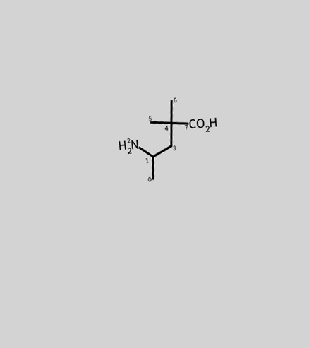 CC(N)CC(C)(C)C(=O)O